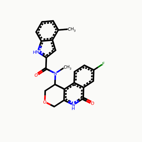 Cc1cccc2[nH]c(C(=O)N(C)C3COCc4[nH]c(=O)c5cc(F)ccc5c43)cc12